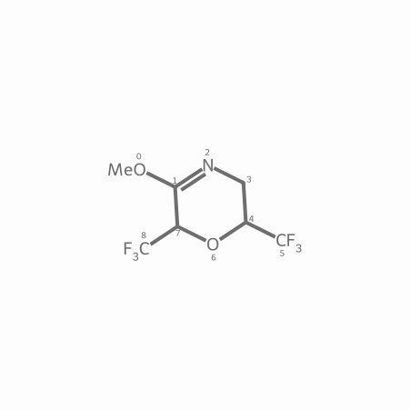 COC1=NCC(C(F)(F)F)OC1C(F)(F)F